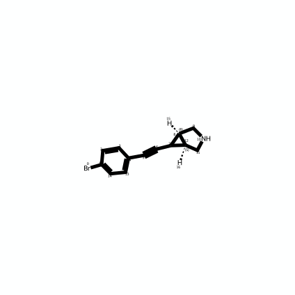 Brc1ccc(C#CC2[C@H]3CNC[C@@H]23)cc1